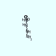 NCCCNCCCCNCCCNC(=O)c1ccccc1